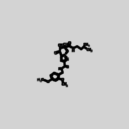 COc1ccc(CNC(=O)c2cc3n(n2)CC(C)(C(=O)NCCC(C)C)N(C)C3=O)c(OC)c1